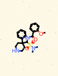 COc1ccccc1C(=O)NC(C1(c2ccccc2)CCNCC1)S(=O)(=O)N(C)C